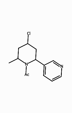 CC(=O)N1C(C)CC(Cl)CC1c1cccnc1